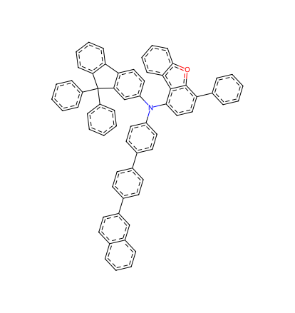 c1ccc(-c2ccc(N(c3ccc(-c4ccc(-c5ccc6ccccc6c5)cc4)cc3)c3ccc4c(c3)C(c3ccccc3)(c3ccccc3)c3ccccc3-4)c3c2oc2ccccc23)cc1